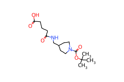 CC(C)(C)OC(=O)N1CCC(CNC(=O)CCCC(=O)O)CC1